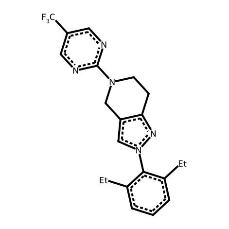 CCc1cccc(CC)c1-n1cc2c(n1)CCN(c1ncc(C(F)(F)F)cn1)C2